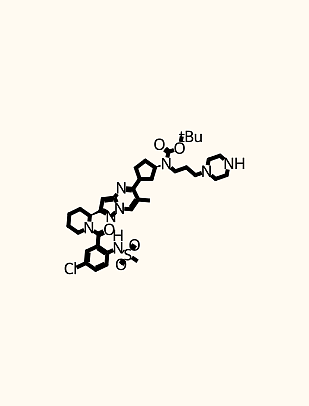 Cc1cn2nc([C@@H]3CCCCN3C(=O)c3cc(Cl)ccc3NS(C)(=O)=O)cc2nc1C1CC[C@H](N(CCCN2CCNCC2)C(=O)OC(C)(C)C)C1